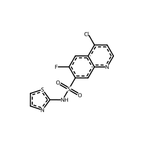 O=S(=O)(Nc1nccs1)c1cc2nccc(Cl)c2cc1F